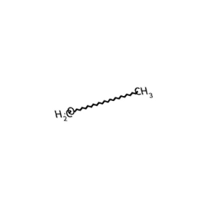 [CH2]OCCCCCCCCCCCCCCCCCCCCCCCC